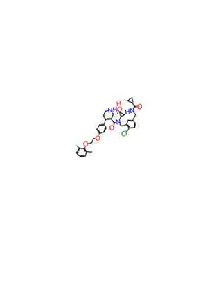 Cc1cccc(C)c1OCCOc1ccc(C2=C(C(=O)N(Cc3cc(CNC(=O)C4CC4)ccc3Cl)C3CC3)[C@@H](CO)NCC2)cc1